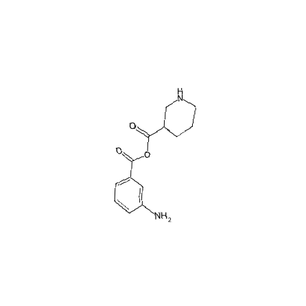 Nc1cccc(C(=O)OC(=O)C2CCCNC2)c1